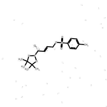 Cc1ccc(S(=O)(=O)OC/C=C/[C@@H](Cl)B2OC(C)(C)C(C)(C)O2)cc1